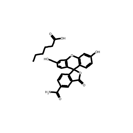 CCCCCC(=O)O.NC(=O)c1ccc2c(c1)C(=O)OC21c2ccc(O)cc2Oc2cc(O)ccc21